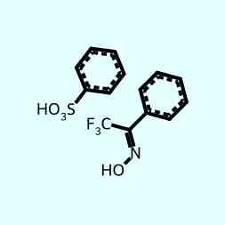 O=S(=O)(O)c1ccccc1.ON=C(c1ccccc1)C(F)(F)F